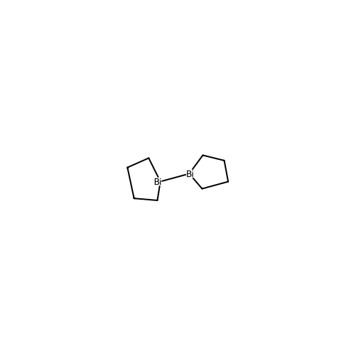 C1C[CH2][Bi]([Bi]2[CH2]CC[CH2]2)[CH2]1